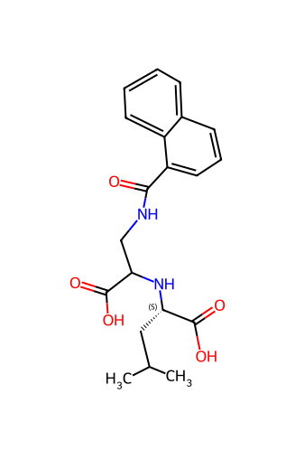 CC(C)C[C@H](NC(CNC(=O)c1cccc2ccccc12)C(=O)O)C(=O)O